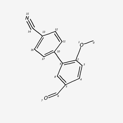 COc1ccc(C=O)cc1-c1ccc(C#N)cc1